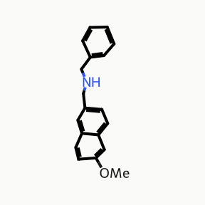 COc1ccc2cc(CNCc3ccccc3)ccc2c1